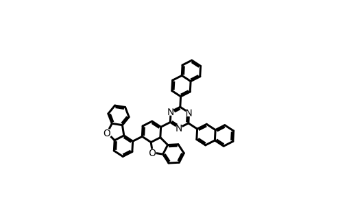 C1=C(c2cccc3oc4ccccc4c23)C2Oc3ccccc3C2C(c2nc(-c3ccc4ccccc4c3)nc(-c3ccc4ccccc4c3)n2)=C1